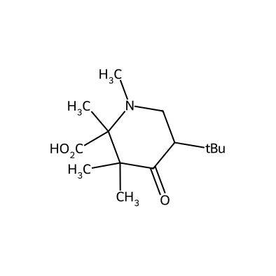 CN1CC(C(C)(C)C)C(=O)C(C)(C)C1(C)C(=O)O